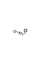 CC(COCCC[O])Cc1ccccc1